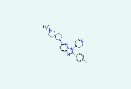 CN1CCC2(CCN(c3ccc4nc(-c5ccc(F)cc5)n(-c5ccncc5)c4n3)C2)C1